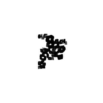 CCCCOC(=O)N1CCN(C(=O)C(CCO)NC(=O)c2cc(O[C@H](C)C(=O)N3CCCC3C(=O)NC3CCC3)c3ccc(C)cc3n2)CC1